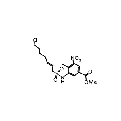 COC(=O)c1cc(NS(=O)(=O)CC=CCCCCCl)c(C)c([N+](=O)[O-])c1